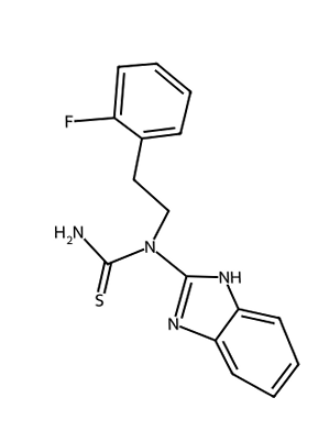 NC(=S)N(CCc1ccccc1F)c1nc2ccccc2[nH]1